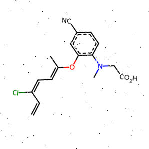 C=C/C(Cl)=C\C=C(/C)Oc1cc(C#N)ccc1N(C)CC(=O)O